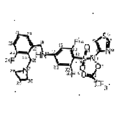 O=C(ON(c1cscn1)S(=O)(=O)c1c(F)cc(NCc2cccc(F)c2CN2CCC2)cc1F)C(F)(F)F